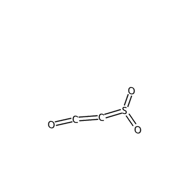 O=C=C=S(=O)=O